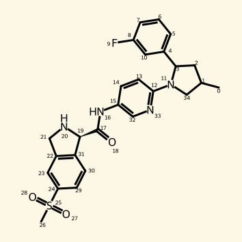 CC1CC(c2cccc(F)c2)N(c2ccc(NC(=O)[C@@H]3NCc4cc(S(C)(=O)=O)ccc43)cn2)C1